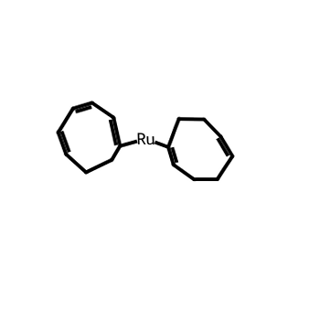 C1=CC=[C]([Ru][C]2=CCCC=CCC2)CCC=C1